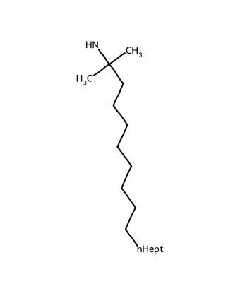 CCCCCCCCCCCCCCCC(C)(C)[NH]